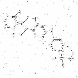 O=C1c2cnc(Nc3ccc4c(c3)CCNC4(F)F)nc2SCN1c1c(Cl)cccc1Cl